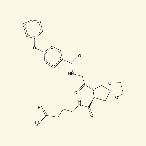 N=C(N)CCCNC(=O)[C@@H]1CC2(CN1C(=O)CNC(=O)c1ccc(Oc3ccccc3)cc1)OCCO2